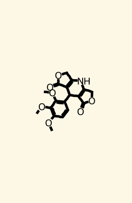 COc1ccc(C2C3=C(COC3=O)NC3=C2C(=O)OC3)c(OC)c1OC